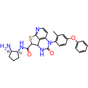 Cc1cc(Oc2ccccc2)ccc1N1C(=O)NC2c3c1ccnc3SC2C(=O)N[C@H]1CCC[C@H]1N